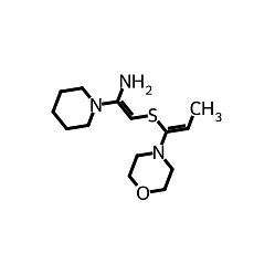 C/C=C(\S/C=C(\N)N1CCCCC1)N1CCOCC1